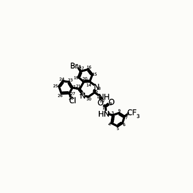 O=C(Nc1cccc(C(F)(F)F)c1)ONC1=Nc2ccc(Br)cc2C(c2ccccc2Cl)=NC1